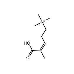 CC(=CCC[N+](C)(C)C)C(=O)O